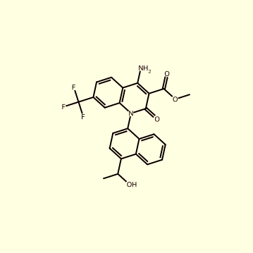 COC(=O)c1c(N)c2ccc(C(F)(F)F)cc2n(-c2ccc(C(C)O)c3ccccc23)c1=O